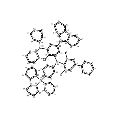 Cc1cc(-c2ccccc2)cc(C)c1N(c1ccc([Si](c2ccccc2)(c2ccccc2)c2ccccc2)cc1)c1cc(-n2c3ccccc3c3ccccc32)cc(N(c2ccccc2)c2ccccc2)c1Cl